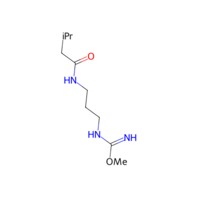 COC(=N)NCCCNC(=O)CC(C)C